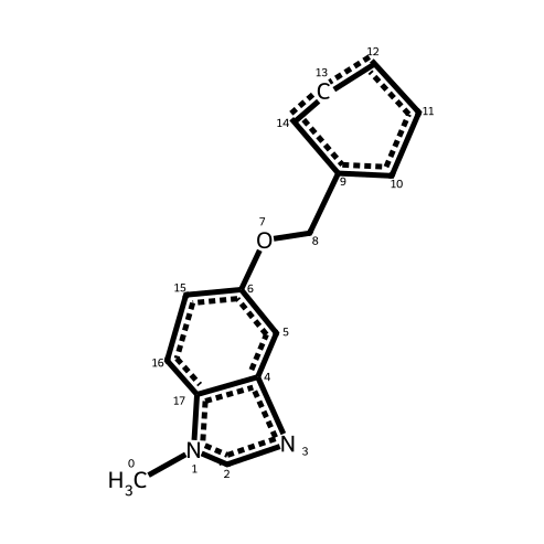 Cn1[c]nc2cc(OCc3ccccc3)ccc21